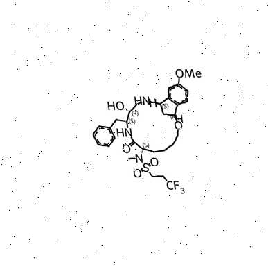 COc1ccc2c(c1)[C@@H]1C[C@H]2OCCCC[C@H](N(C)S(=O)(=O)CCC(F)(F)F)C(=O)N[C@@H](Cc2ccccc2)[C@H](O)CN1